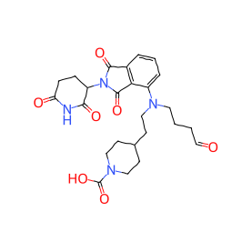 O=CCCCN(CCC1CCN(C(=O)O)CC1)c1cccc2c1C(=O)N(C1CCC(=O)NC1=O)C2=O